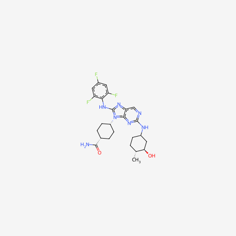 C[C@@H]1CCC(Nc2ncc3nc(Nc4c(F)cc(F)cc4F)n([C@H]4CC[C@@H](C(N)=O)CC4)c3n2)C[C@H]1O